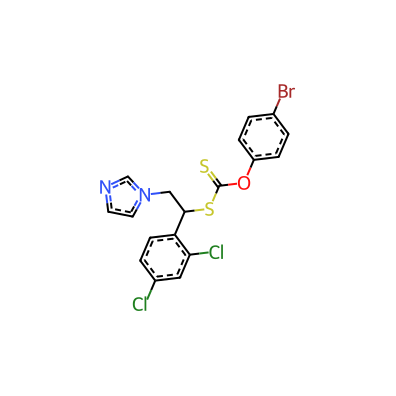 S=C(Oc1ccc(Br)cc1)SC(Cn1ccnc1)c1ccc(Cl)cc1Cl